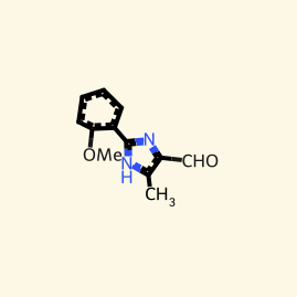 COc1ccccc1-c1nc(C=O)c(C)[nH]1